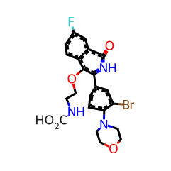 O=C(O)NCCOc1c(-c2ccc(N3CCOCC3)c(Br)c2)[nH]c(=O)c2cc(F)ccc12